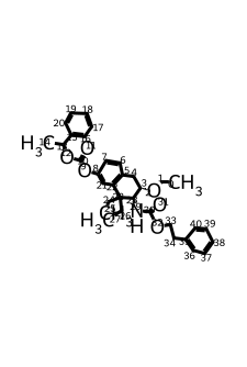 CCO[C@H]1Cc2ccc(OC(=O)OC(C)c3ccccc3)cc2C(CC)(CC)[C@@H]1NC(=O)OCCc1ccccc1